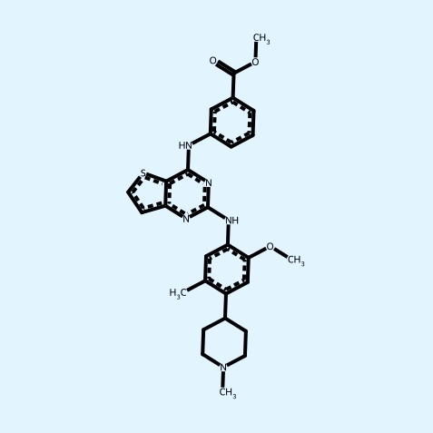 COC(=O)c1cccc(Nc2nc(Nc3cc(C)c(C4CCN(C)CC4)cc3OC)nc3ccsc23)c1